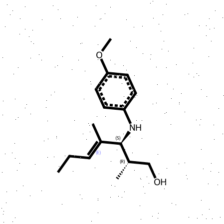 CC/C=C(\C)[C@@H](Nc1ccc(OC)cc1)[C@@H](C)CO